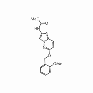 COC(=O)Nc1cn2nc(OCc3ccccc3OC)ccc2n1